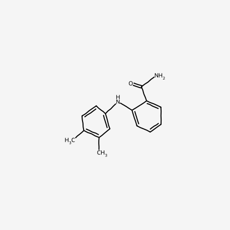 Cc1ccc(Nc2ccccc2C(N)=O)cc1C